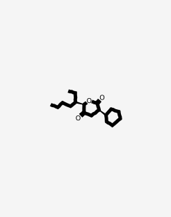 CCCCC(CC)[C@H]1OC(=O)[C@@H](C2CCCCC2)CC1=O